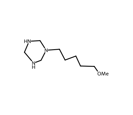 COCCCCCN1CNCNC1